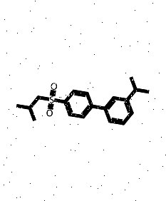 CC(C)CS(=O)(=O)c1ccc(-c2cccc(C(C)C)c2)cc1